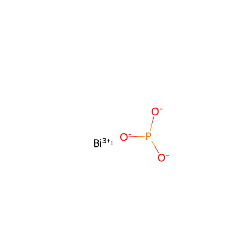 [Bi+3].[O-]P([O-])[O-]